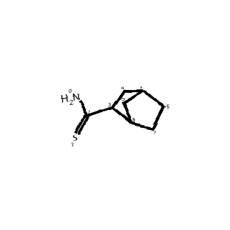 NC(=S)C1CC2CCC1C2